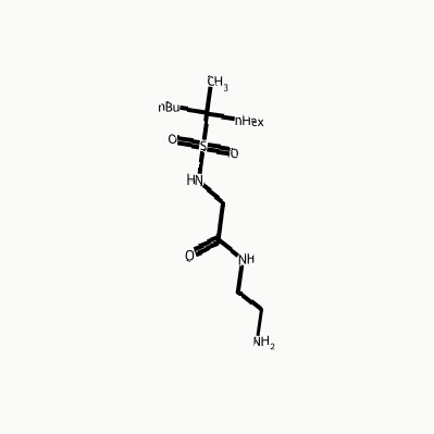 CCCCCCC(C)(CCCC)S(=O)(=O)NCC(=O)NCCN